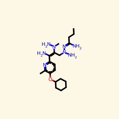 CCC/C(N)=N/N(N)C/C(=C(/N)c1ccc(OC2CCCCC2)c(C)n1)N(C)N